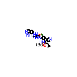 Cc1cc(C(=O)Nc2cc(C(CCC3CC3)(N[S@+]([O-])C(C)(C)C)c3ccncc3)ccc2F)nn1-c1ccc2ccnc(N)c2c1